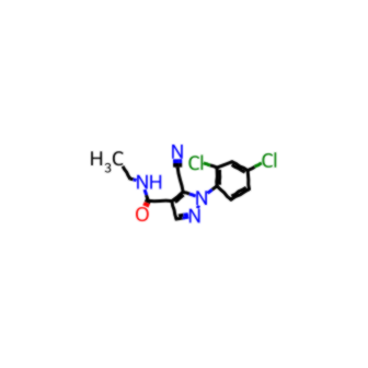 CCNC(=O)c1cnn(-c2ccc(Cl)cc2Cl)c1C#N